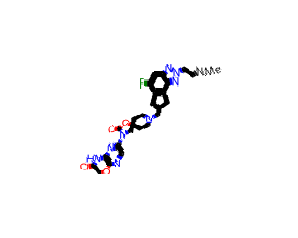 CNCCn1nc2cc(F)c3c(c2n1)CC(CN1CCC2(CC1)CN(c1cnc4c(n1)NC(=O)CO4)C(=O)O2)C3